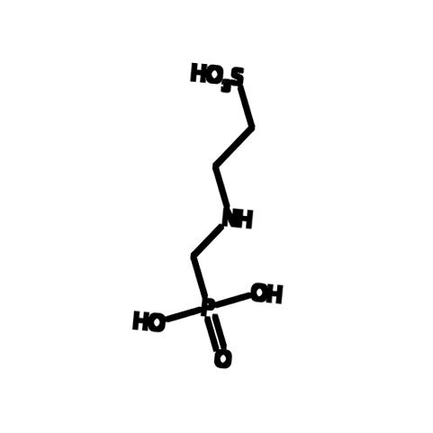 O=P(O)(O)CNCCS(=O)(=O)O